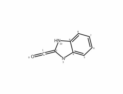 O=C=C1[N]c2ccccc2N1